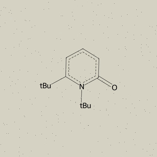 CC(C)(C)c1cccc(=O)n1C(C)(C)C